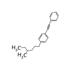 CCC(C)CCCc1ccc(C#Cc2ccccc2)cc1